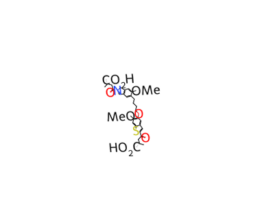 COc1cc2c(cc1CCCCOc1cc3cc(C(=O)C[C@H](C)C(=O)O)sc3cc1OC)CN(C(=O)C[C@H](C)C(=O)O)C2